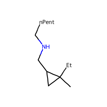 CCCCCCNCC1CC1(C)CC